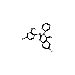 COc1cc(F)ccc1Nc1nc2ccc(Cl)cc2c(=O)n1-c1ccccc1